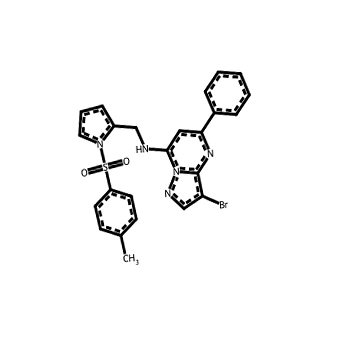 Cc1ccc(S(=O)(=O)n2cccc2CNc2cc(-c3ccccc3)nc3c(Br)cnn23)cc1